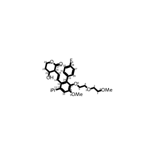 COCCOCCOc1c(OC)cc(C(C)C)c(C=CC2C(=O)OCCC2O)c1-c1ccc(F)cc1